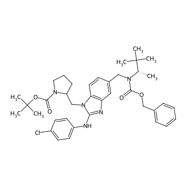 C[C@H](N(Cc1ccc2c(c1)nc(Nc1ccc(Cl)cc1)n2CC1CCCN1C(=O)OC(C)(C)C)C(=O)OCc1ccccc1)C(C)(C)C